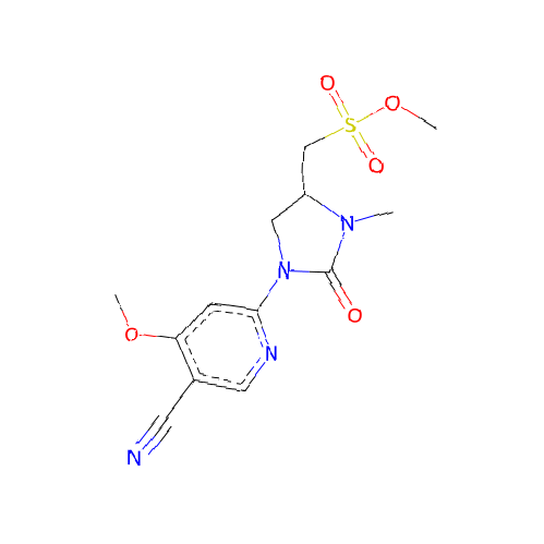 COc1cc(N2CC(CS(=O)(=O)OC)N(C)C2=O)ncc1C#N